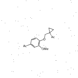 COc1cc(C(C)=O)ccc1OCC1(C(C)=O)CC1